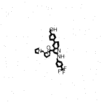 O=C(c1cc(NCc2ccc(C(F)(F)F)cc2)nc2ccc(-c3ccc(CO)cc3)cc12)N1CCC[C@H]1CN1CCCC1